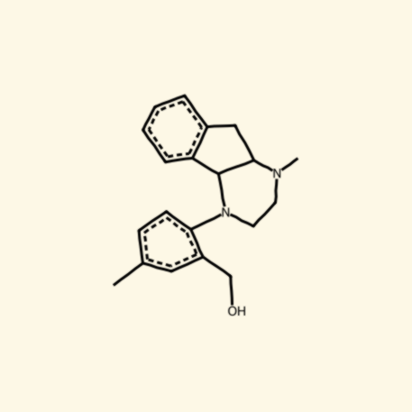 Cc1ccc(N2CCN(C)C3Cc4ccccc4C32)c(CO)c1